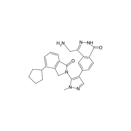 Cn1ncc(-c2ccc3c(=O)[nH]nc(CN)c3c2)c1N1Cc2c(cccc2C2CCCC2)C1=O